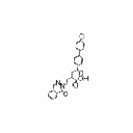 O=C(C[C@H](CCn1ncc2ccccc2c1=O)C(=O)O)c1ccc(-c2ccc(Cl)cc2)cc1